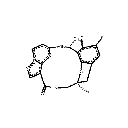 C[C@H]1Nc2ccn3ncc(c3n2)C(=O)NC[C@]2(C)Cc3cc(F)c(F)c1c3O2